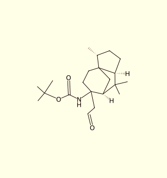 C[C@@H]1CC[C@H]2C(C)(C)[C@@H]3CC12CCC3(CC=O)NC(=O)OC(C)(C)C